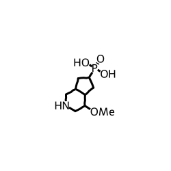 COC1CNCC2CC(P(=O)(O)O)CC21